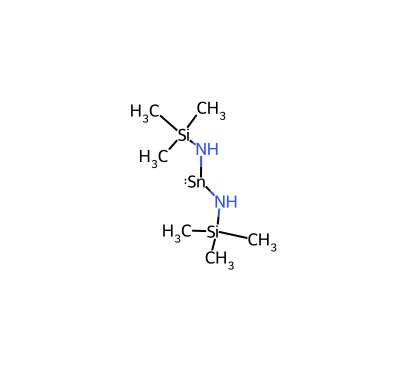 C[Si](C)(C)[NH][Sn][NH][Si](C)(C)C